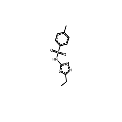 CCc1nnc(NS(=O)(=O)c2ccc(C)cc2)s1